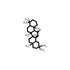 CC1(C)CCC2(C)CCC3(C)C(=CC(=O)C4C5(C)CCCC(C)(C)C5CCC43C)C2C1